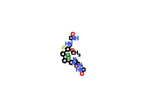 COc1cc(-c2cccc(-c3cccc(-c4ccn5c(=O)c(CNC[C@@H]6CCC(=O)N6)cnc5c4)c3Cl)c2Cl)c(F)cc1CNC[C@@H]1CCC(=O)N1